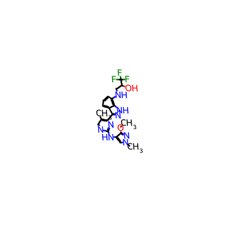 COc1nn(C)cc1Nc1ncc(C)c(-c2n[nH]c3c(NCC(O)C(F)(F)F)cccc23)n1